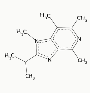 Cc1nc(C)c2nc(C(C)C)n(C)c2c1C